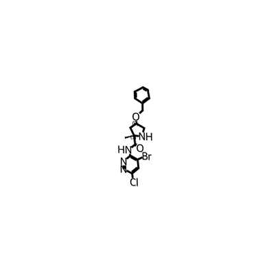 C[C@@]1(C(=O)Nc2nnc(Cl)cc2Br)C[C@@H](OCc2ccccc2)CN1